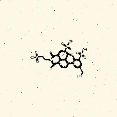 O=c1c2ccc3c4cc(CO)cc(S(=O)(=O)O)c4oc4c(S(=O)(=O)O)cc(c(=O)n1CCS(=O)(=O)O)c2c43